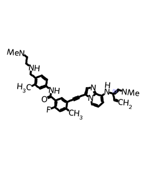 C=C/C(=C\NC)Nc1cccn2c(C#Cc3cc(C(=O)Nc4ccc(CNCCNC)c(C)c4)c(F)cc3C)cnc12